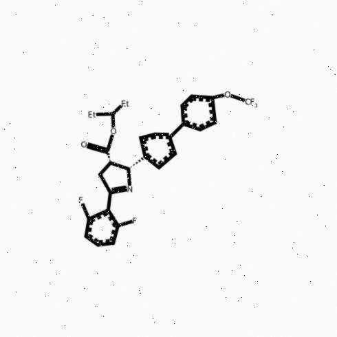 CCC(CC)OC(=O)[C@H]1CC(c2c(F)cccc2F)=N[C@H]1c1ccc(-c2ccc(OC(F)(F)F)cc2)cc1